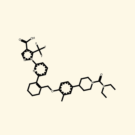 CCN(CC)C(=O)N1CCC(c2ccc(OCC3=C(c4cccc(-n5ncc(C(=O)O)c5C(F)(F)F)n4)CCCC3)c(C)c2)CC1